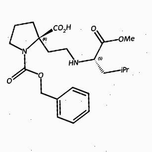 COC(=O)[C@H](CC(C)C)NCC[C@@]1(C(=O)O)CCCN1C(=O)OCc1ccccc1